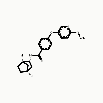 COc1ccc(Oc2ccc(C(=O)N[C@@H]3C[C@H]4CC[C@@H]3N4)cc2)cn1